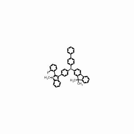 Cn1c(-c2ccccc2F)c(-c2ccc(N(c3ccc(-c4ccccc4)cc3)c3ccc4c(c3)C(C)(C)c3ccccc3-4)cc2)c2ccccc21